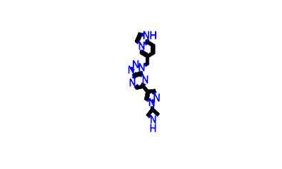 C1=CN2C=C(Cn3nnc4ncc(-c5cnn(C6CNC6)c5)nc43)C=CC2N1